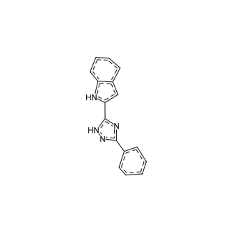 c1ccc(-c2n[nH]c(-c3cc4ccccc4[nH]3)n2)cc1